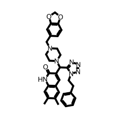 Cc1cc2cc(C(c3nnnn3CCc3ccccc3)N3CCN(Cc4ccc5c(c4)OCO5)CC3)c(=O)[nH]c2cc1C